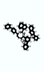 CC1CC/C(c2ccc(-c3ccccc3)cc2)=N\C(c2cccc3ccccc23)=N/C1c1cc(-n2c3ccccc3c3cc4ccccc4cc32)cc2c1oc1ccccc12